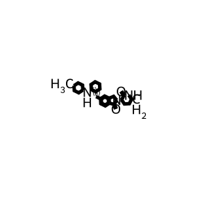 C=C1CCC(N2Cc3cc(C[C@H]4CCCC[C@@H]4NC4CCC(C)CC4)ccc3C2=O)C(=O)N1